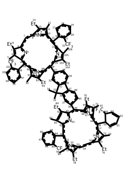 CCC1=C(C)c2nc1cc1[nH]c(c(C)c1CC)c(-c1ccccc1C(F)(F)F)c1nc(c(-c3ccc4c(c3)C(C)(C)c3cc(-c5c6nc(c(-c7ccccc7C(F)(F)F)c7[nH]c(cc8nc(c(C9C=CC=CC9C(F)(F)F)c9[nH]c5c(CC)c9C)C(C)=C8CC)c(CC)c7C)C(C)=C6CC)ccc3-4)c3[nH]c(c(C)c3CC)c2-c2ccccc2C(F)(F)F)C(CC)=C1C